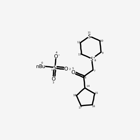 CCCCS(=O)(=O)[O-].O=C(C[S+]1CCSCC1)C1CCCC1